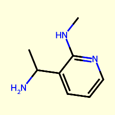 CNc1ncccc1C(C)N